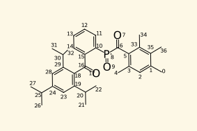 Cc1cc(C)c(C(=O)[P](=O)c2ccccc2C(=O)c2c(C(C)C)cc(C(C)C)cc2C(C)C)c(C)c1C